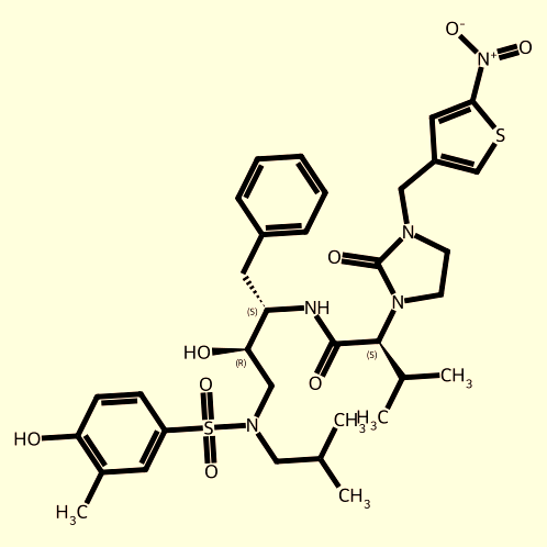 Cc1cc(S(=O)(=O)N(CC(C)C)C[C@@H](O)[C@H](Cc2ccccc2)NC(=O)[C@H](C(C)C)N2CCN(Cc3csc([N+](=O)[O-])c3)C2=O)ccc1O